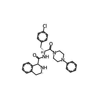 O=C(N[C@H](Cc1ccc(Cl)cc1)C(=O)N1CCN(c2ccccc2)CC1)C1N[CH]Cc2ccccc21